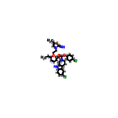 C=C(/C=C\C(=C/C)OCCn1cc(C)sc1=N)[C@H]1c2[nH]c3ccc(Cl)cc3c2CCN1C(=O)Oc1ccc(Cl)cc1